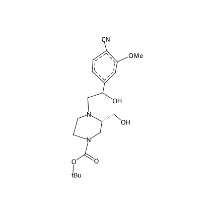 COc1cc(C(O)CN2CCN(C(=O)OC(C)(C)C)C[C@H]2CO)ccc1C#N